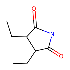 CCC1C(=O)[N]C(=O)C1CC